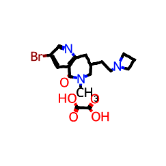 CN1CC(CCN2CCC2)Cc2ncc(Br)cc2C1=O.O=C(O)C(=O)O